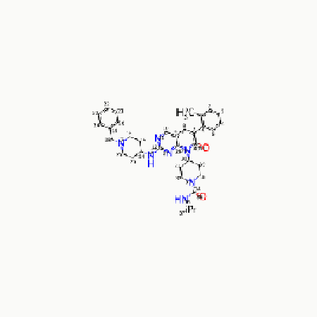 Cc1ccccc1-c1cc2cnc(NC3CCN(Cc4ccccc4)CC3)nc2n(C2CCN(C(=O)NC(C)C)CC2)c1=O